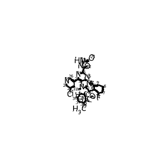 COC(C)(c1c(F)cccc1F)c1nc2nc(-c3n[nH]c(=O)o3)nc(-c3cncc(Cl)c3)c2n1C[C@H]1CC[C@H](C)CC1